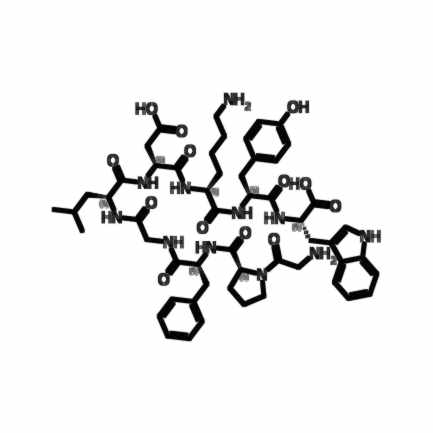 CC(C)C[C@H](NC(=O)CNC(=O)[C@H](Cc1ccccc1)NC(=O)[C@@H]1CCCN1C(=O)CN)C(=O)N[C@@H](CC(=O)O)C(=O)N[C@@H](CCCCN)C(=O)N[C@@H](Cc1ccc(O)cc1)C(=O)N[C@@H](Cc1c[nH]c2ccccc12)C(=O)O